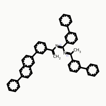 C=C(/N=C(\N=C(/C)c1cccc(-c2ccccc2)c1)c1cccc(-c2ccccc2)c1)c1cccc(-c2ccc3cc(-c4ccccc4)ccc3c2)c1